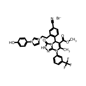 COC(=O)C1=C(C)N(c2cccc(C(F)(F)F)c2)c2n[nH]c(=O)n2C1c1ccc(C#N)cc1CC[n+]1ccn(-c2ccc(O)cc2)c1.[Br-]